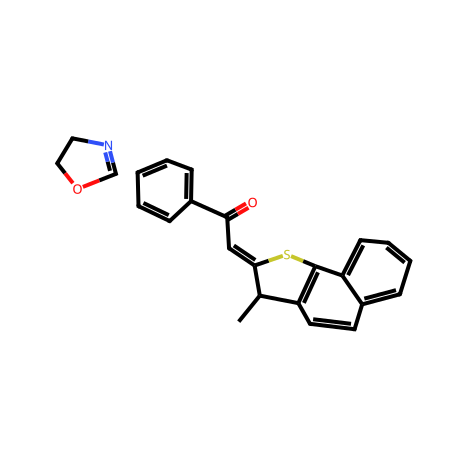 C1=NCCO1.CC1C(=CC(=O)c2ccccc2)Sc2c1ccc1ccccc21